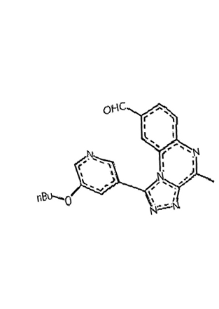 CCCCOc1cncc(-c2nnc3c(C)nc4ccc(C=O)cc4n23)c1